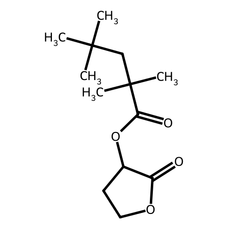 CC(C)(C)CC(C)(C)C(=O)OC1CCOC1=O